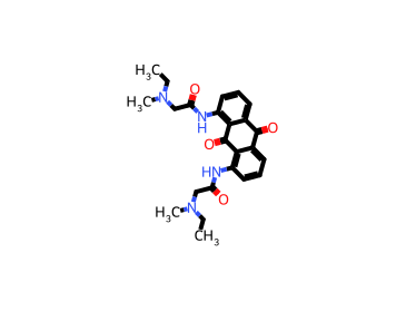 CCN(C)CC(=O)Nc1cccc2c1C(=O)c1c(NC(=O)CN(C)CC)cccc1C2=O